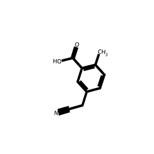 Cc1ccc(CC#N)cc1C(=O)O